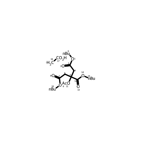 CCCCOC(=O)CC(CC(=O)OCCCC)(OC(C)=O)C(=O)OCCCC.[CH2]C(=O)O